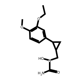 CCOc1cc(C2CC2CN(O)C(N)=O)ccc1OC